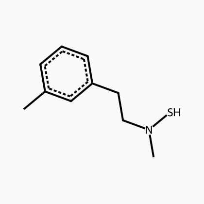 Cc1cccc(CCN(C)S)c1